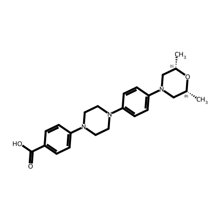 C[C@@H]1CN(c2ccc(N3CCN(c4ccc(C(=O)O)cc4)CC3)cc2)C[C@H](C)O1